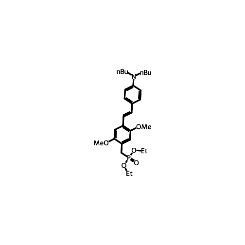 CCCCN(CCCC)c1ccc(C=Cc2cc(OC)c(CP(=O)(OCC)OCC)cc2OC)cc1